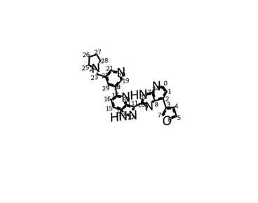 c1cc(-c2ccoc2)c2nc(-c3n[nH]c4ccc(-c5cncc(CN6CCCC6)c5)nc34)[nH]c2n1